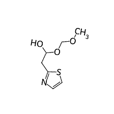 COCOC(O)Cc1nccs1